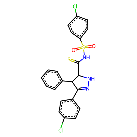 O=S(=O)(NC(=S)C1NN=C(c2ccc(Cl)cc2)C1c1ccccc1)c1ccc(Cl)cc1